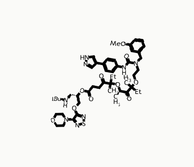 CCC(C)(O[C@@H](C)C(=O)C(C)(CC)OCCN(Cc1cccc(OC)c1)C(=O)Nc1ccc(-c2cn[nH]c2)cc1)C(=O)CCC(=O)O[C@@H](CNC(C)(C)C)COc1nsnc1N1CCOCC1